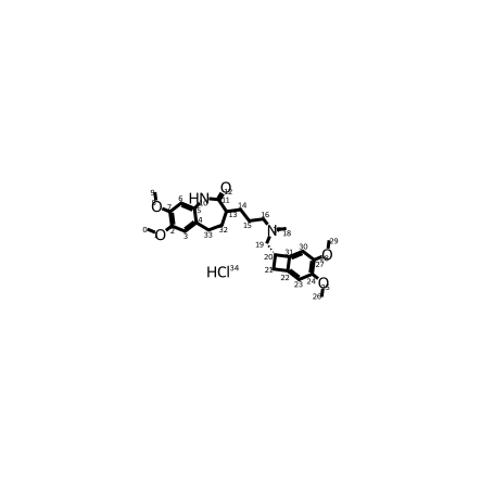 COc1cc2c(cc1OC)NC(=O)C(CCCN(C)C[C@H]1Cc3cc(OC)c(OC)cc31)CC2.Cl